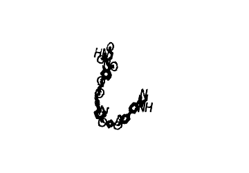 O=C1CCC(N2Cc3cc(OCCOCC#Cc4ccc(O[C@H]5C[C@H](Oc6ccc(-c7ccc8c(c7)[nH]c7ccncc78)cn6)C5)cn4)ccc3C2=O)C(=O)N1